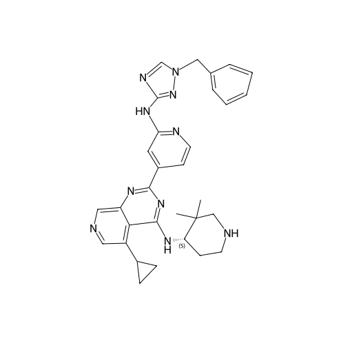 CC1(C)CNCC[C@@H]1Nc1nc(-c2ccnc(Nc3ncn(Cc4ccccc4)n3)c2)nc2cncc(C3CC3)c12